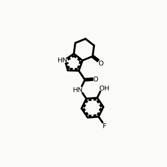 O=C(Nc1ccc(F)cc1O)c1c[nH]c2c1C(=O)CCC2